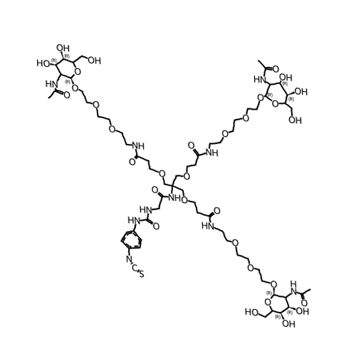 CC(=O)NC1[C@H](OCCOCCOCCNC(=O)CCOCC(COCCC(=O)NCCOCCOCCO[C@@H]2OC(CO)[C@H](O)[C@H](O)C2NC(C)=O)(COCCC(=O)NCCOCCOCCO[C@@H]2OC(CO)[C@H](O)[C@H](O)C2NC(C)=O)NC(=O)CNC(=O)Nc2ccc(N=C=S)cc2)OC(CO)[C@H](O)[C@@H]1O